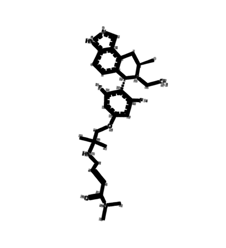 C[C@@H]1Cc2c(ccc3[nH]ncc23)[C@@H](c2c(F)cc(OCC(C)(C)NC/C=C/C(=O)N(C)C)cc2F)N1CC(F)(F)F